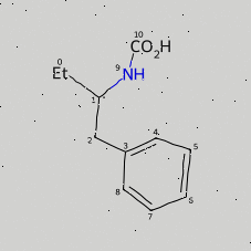 CC[C](Cc1ccccc1)NC(=O)O